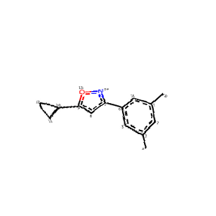 Cc1cc(C)cc(-c2cc(C3CC3)on2)c1